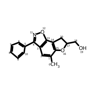 Cc1cc2c(-c3ccccc3)noc2c2c1OC(CO)C2